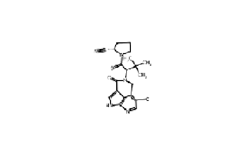 CC(C)(C)[C@H](C(=O)N1CCC[C@H]1C#N)N1Cc2c(Cl)cnc3[nH]cc(c23)C1=O